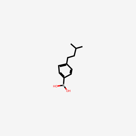 CC(C)CCc1ccc(B(O)O)cc1